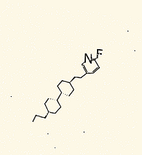 CCC[C@H]1CC[C@H]([C@H]2CC[C@H](CCc3ccc(F)nc3)CC2)CC1